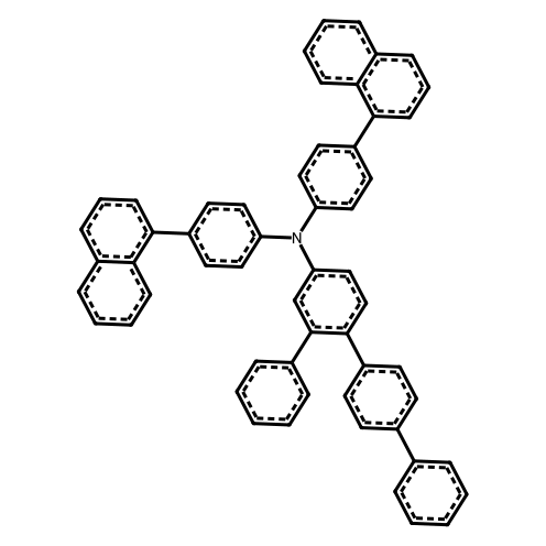 c1ccc(-c2ccc(-c3ccc(N(c4ccc(-c5cccc6ccccc56)cc4)c4ccc(-c5cccc6ccccc56)cc4)cc3-c3ccccc3)cc2)cc1